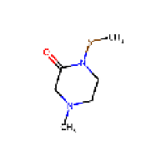 CSN1CCN(C)CC1=O